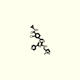 Cn1nccc1CNc1nc(-c2ccncc2)cn2c(-c3ccc(C(=O)NC4CC4)c(Cl)c3)cnc12